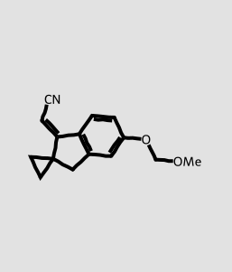 COCOc1ccc2c(c1)CC1(CC1)C2=CC#N